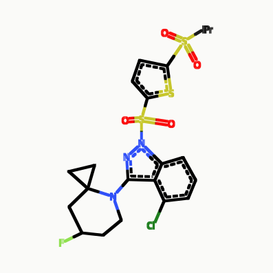 CC(C)S(=O)(=O)c1ccc(S(=O)(=O)n2nc(N3CCC(F)CC34CC4)c3c(Cl)cccc32)s1